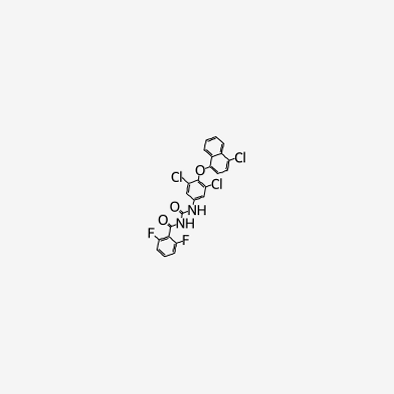 O=C(NC(=O)c1c(F)cccc1F)Nc1cc(Cl)c(Oc2ccc(Cl)c3ccccc23)c(Cl)c1